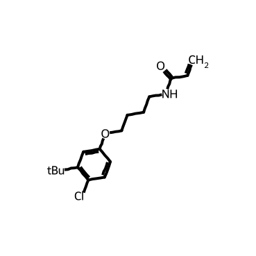 C=CC(=O)NCCCCOc1ccc(Cl)c(C(C)(C)C)c1